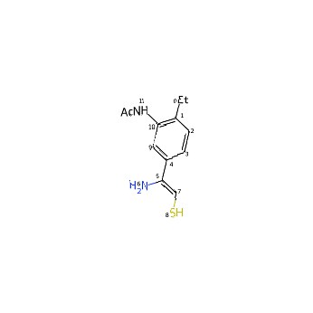 CCc1ccc(/C(N)=C/S)cc1NC(C)=O